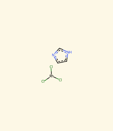 [Cl][Rh]([Cl])[Cl].c1c[nH]cn1